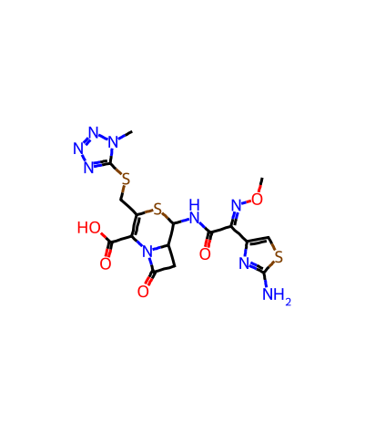 CON=C(C(=O)NC1SC(CSc2nnnn2C)=C(C(=O)O)N2C(=O)CC12)c1csc(N)n1